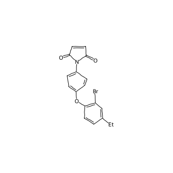 CCc1ccc(Oc2ccc(N3C(=O)C=CC3=O)cc2)c(Br)c1